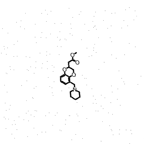 COC(=O)CC1COc2c(CN3CCCCC3)cccc2O1